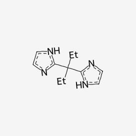 CCC(CC)(c1ncc[nH]1)c1ncc[nH]1